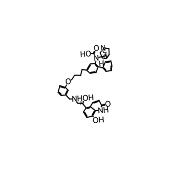 O=C(O)N(c1cc(CCCCOc2cccc(CNC[C@@H](O)c3ccc(O)c4[nH]c(=O)ccc34)c2)ccc1-c1ccccc1)[C@H]1CN2CCC1CC2